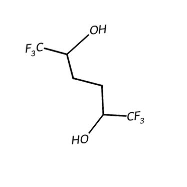 OC(CCC(O)C(F)(F)F)C(F)(F)F